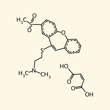 CN(C)CCSC1=Cc2ccccc2Oc2ccc(S(C)(=O)=O)cc21.O=C(O)/C=C\C(=O)O